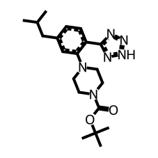 CC(C)Cc1ccc(-c2nn[nH]n2)c(N2CCN(C(=O)OC(C)(C)C)CC2)c1